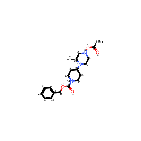 CC[C@H]1CN(OC(=O)C(C)(C)C)CCN1C1CCN(C(=O)OCc2ccccc2)CC1